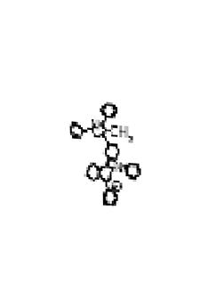 CC1C(c2ccc3c(c2)c2c4ccccc4c4c5ccccc5oc4c2n3-c2ccccc2)=CC(c2ccccc2)=NC1c1ccccc1